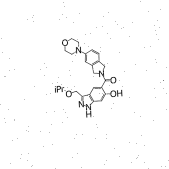 CC(C)OCc1n[nH]c2cc(O)c(C(=O)N3Cc4ccc(N5CCOCC5)cc4C3)cc12